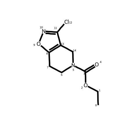 CCOC(=O)N1CCc2onc(Cl)c2C1